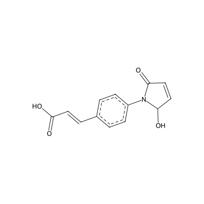 O=C(O)/C=C/c1ccc(N2C(=O)C=CC2O)cc1